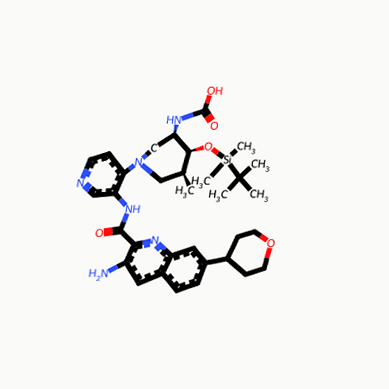 C[C@H]1CN(c2ccncc2NC(=O)c2nc3cc(C4CCOCC4)ccc3cc2N)C[C@@H](NC(=O)O)[C@H]1O[Si](C)(C)C(C)(C)C